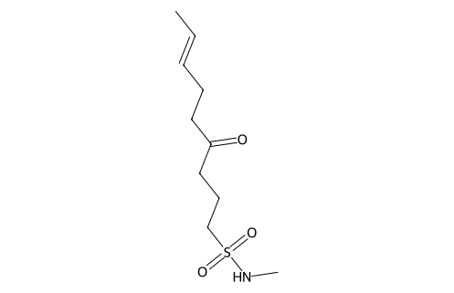 CC=CCCC(=O)CCCS(=O)(=O)NC